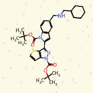 CC(C)(C)OC(=O)n1nc(-c2cc3cc(CNCC4CCCCC4)ccc3n2C(=O)OC(C)(C)C)c2sccc21